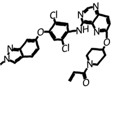 C=CC(=O)N1CCC(Oc2ccc3ncnc(Nc4cc(Cl)c(Oc5ccc6cn(C)nc6c5)cc4Cl)c3n2)CC1